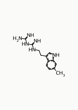 Cc1ccc2c(CCNC(=N)NC(=N)N)c[nH]c2c1